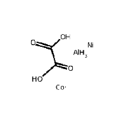 O=C(O)C(=O)O.[AlH3].[Co].[Ni]